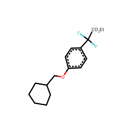 CCOC(=O)C(F)(F)c1ccc(OCC2CCCCC2)cc1